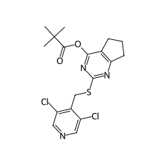 CC(C)(C)C(=O)Oc1nc(SCc2c(Cl)cncc2Cl)nc2c1CCC2